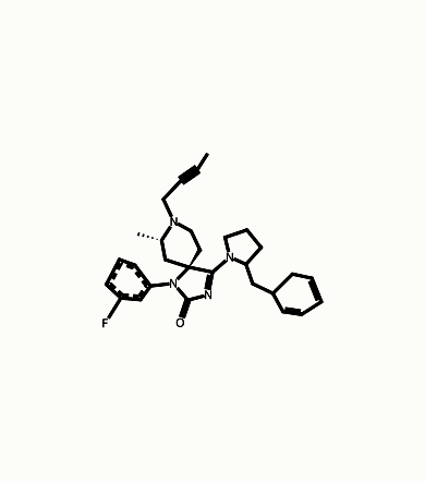 CC#CCN1CC[C@@]2(C[C@@H]1C)C(N1CCCC1CC1C=CC=CC1)=NC(=O)N2c1cccc(F)c1